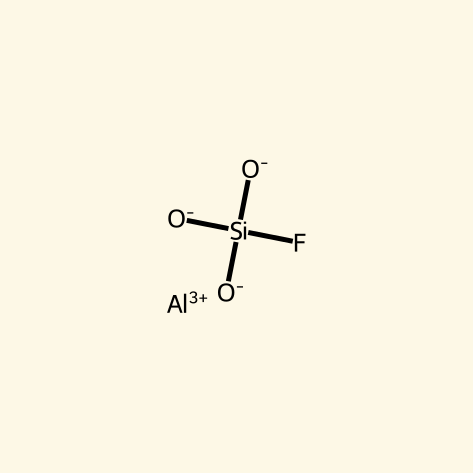 [Al+3].[O-][Si]([O-])([O-])F